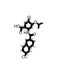 CC(C)Oc1cc(NC(=O)c2ccc3cc(Cl)ccc3c2)c(C(=O)O)cc1Cl